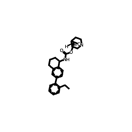 CCc1ccccc1-c1ccc2c(c1)CCCC2NC(=O)O[C@H]1CN2CCC1CC2